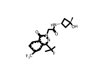 CC(C)(F)c1nn(CC(=O)N[C@H]2C[C@@](C)(O)C2)c(=O)c2ccc(C(F)(F)F)cc12